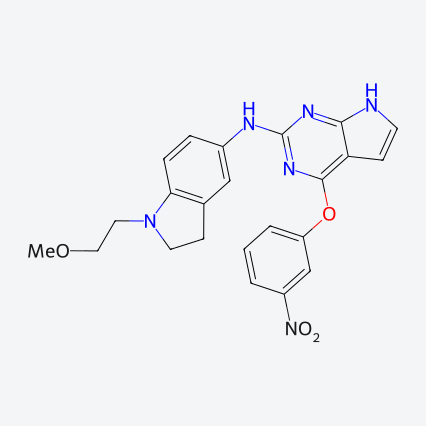 COCCN1CCc2cc(Nc3nc(Oc4cccc([N+](=O)[O-])c4)c4cc[nH]c4n3)ccc21